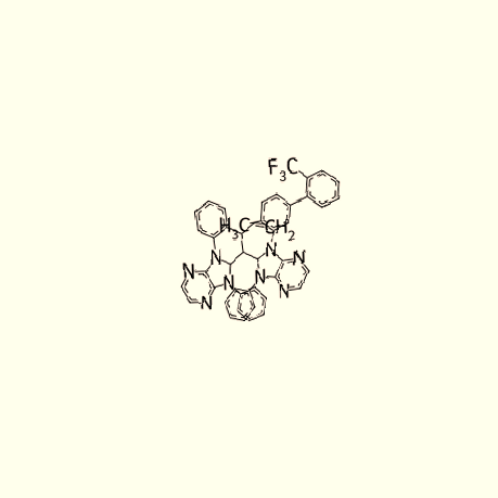 C=CC1c2ccccc2N2c3nccnc3N(c3ccccc3)C2C1C1N(c2ccccc2)c2nccnc2N1c1cc(-c2ccccc2C(F)(F)F)ccc1C